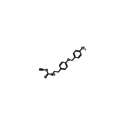 CC(C)(C)OC(=O)NCCc1ccc(OCc2ccc(C(F)(F)F)cc2)cc1